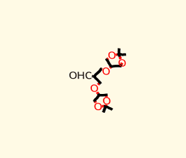 CC1(C)OCC(OCC(C=O)COC2COC(C)(C)OC2)CO1